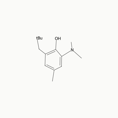 Cc1cc(CC(C)(C)C)c(O)c(N(C)C)c1